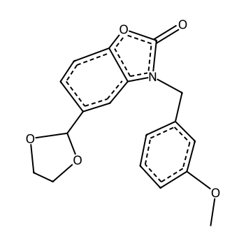 COc1cccc(Cn2c(=O)oc3ccc(C4OCCO4)cc32)c1